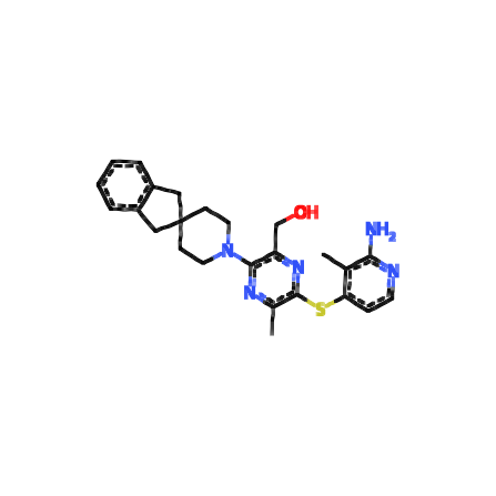 Cc1nc(N2CCC3(CC2)Cc2ccccc2C3)c(CO)nc1Sc1ccnc(N)c1C